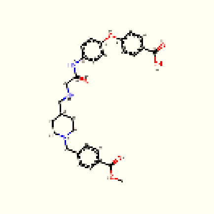 COC(=O)c1ccc(CN2CCC(CNCC(=O)Nc3ccc(Oc4ccc(C(=O)O)cc4)cc3)CC2)cc1